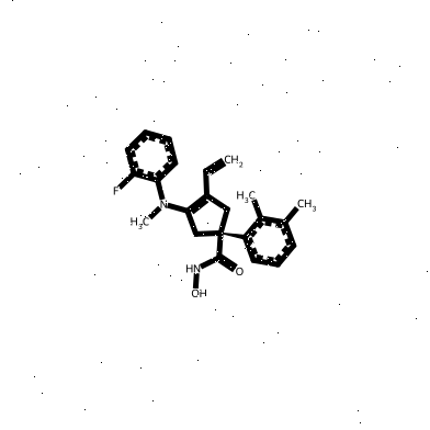 C=CC1=C(N(C)c2ccccc2F)C[C@](C(=O)NO)(c2cccc(C)c2C)C1